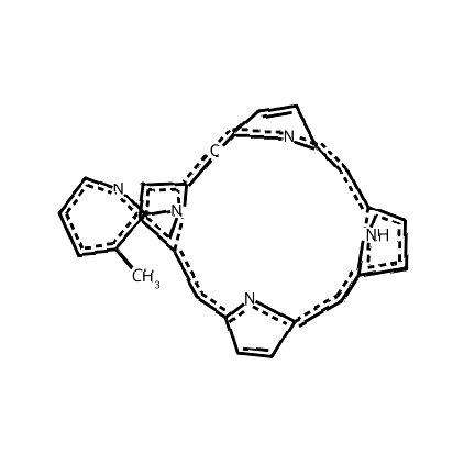 Cc1cccnc1-n1c2ccc1cc1nc(cc3ccc(cc4nc(c2)C=C4)[nH]3)C=C1